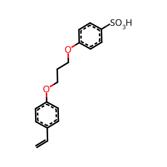 C=Cc1ccc(OCCCOc2ccc(S(=O)(=O)O)cc2)cc1